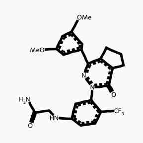 COc1cc(OC)cc(-c2nn(-c3cc(NCC(N)=O)ccc3C(F)(F)F)c(=O)c3c2CCC3)c1